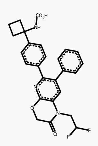 O=C(O)NC1(c2ccc(-c3nc4c(cc3-c3ccccc3)N(CC(F)F)C(=O)CO4)cc2)CCC1